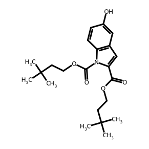 CC(C)(C)CCOC(=O)c1cc2cc(O)ccc2n1C(=O)OCCC(C)(C)C